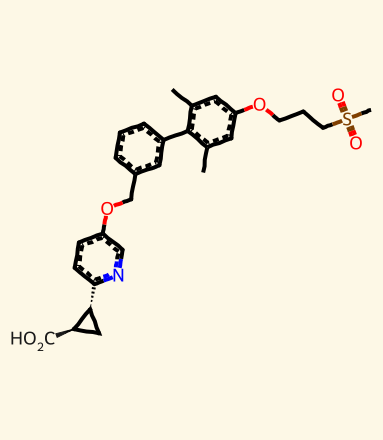 Cc1cc(OCCCS(C)(=O)=O)cc(C)c1-c1cccc(COc2ccc([C@@H]3C[C@H]3C(=O)O)nc2)c1